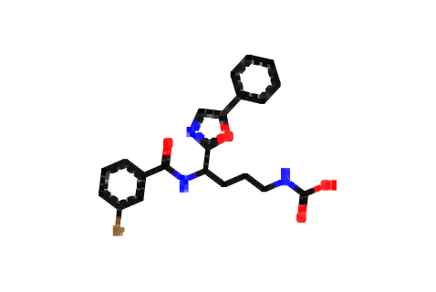 O=C(O)NCCCC(NC(=O)c1cccc(Br)c1)c1ncc(-c2ccccc2)o1